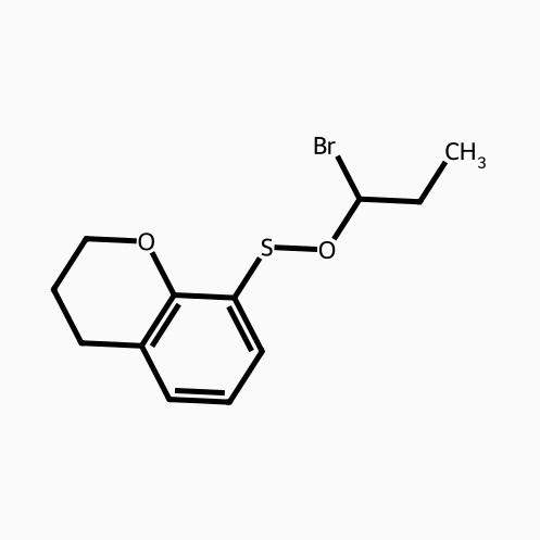 CCC(Br)OSc1cccc2c1OCCC2